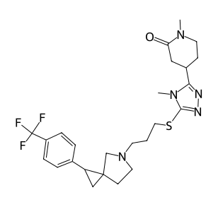 CN1CCC(c2nnc(SCCCN3CCC4(CC4c4ccc(C(F)(F)F)cc4)C3)n2C)CC1=O